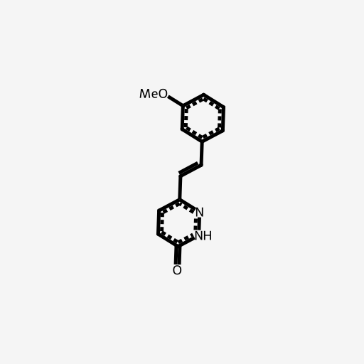 COc1cccc(C=Cc2ccc(=O)[nH]n2)c1